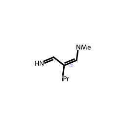 CN/C=C(\C=N)C(C)C